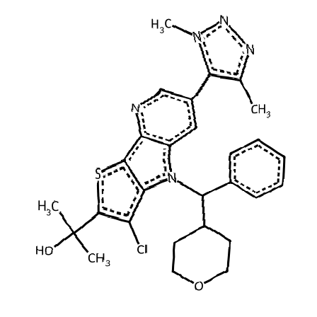 Cc1nnn(C)c1-c1cnc2c3sc(C(C)(C)O)c(Cl)c3n(C(c3ccccc3)C3CCOCC3)c2c1